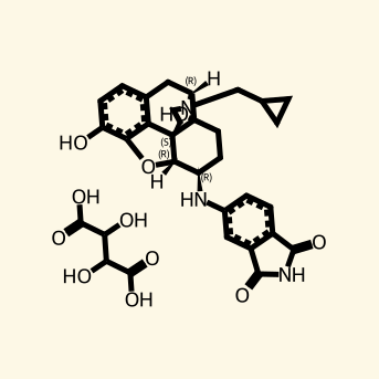 O=C(O)C(O)C(O)C(=O)O.O=C1NC(=O)c2cc(N[C@@H]3CCC4(O)[C@H]5Cc6ccc(O)c7c6[C@@]4(CCN5CC4CC4)[C@H]3O7)ccc21